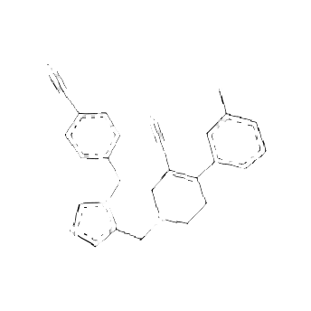 N#CC1=C(c2cccc(Cl)c2)CCN(Cc2cncn2Cc2ccc(C#N)cc2)C1